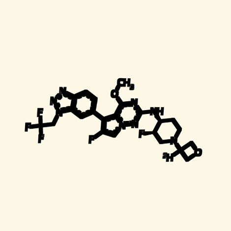 [2H]C1(N2CC[C@H](Nc3nc(OC)c4c(-c5ccc6nnn(CC(F)(F)F)c6c5)c(F)cn4n3)[C@H](F)C2)COC1